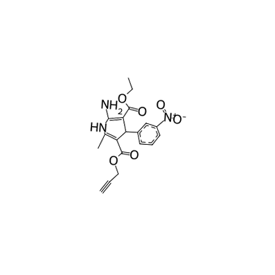 C#CCOC(=O)C1=C(C)NC(N)=C(C(=O)OCC)C1c1cccc([N+](=O)[O-])c1